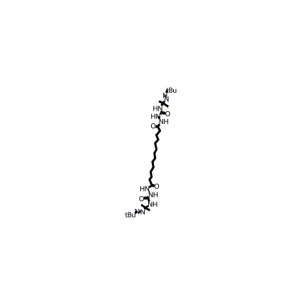 CC(C)(C)/N=N/C(C)(C)NC(=O)NNC(=O)CCCCCCCCCCCCC(=O)NNC(=O)NC(C)(C)/N=N/C(C)(C)C